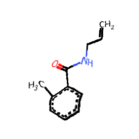 C=CCNC(=O)c1ccccc1C